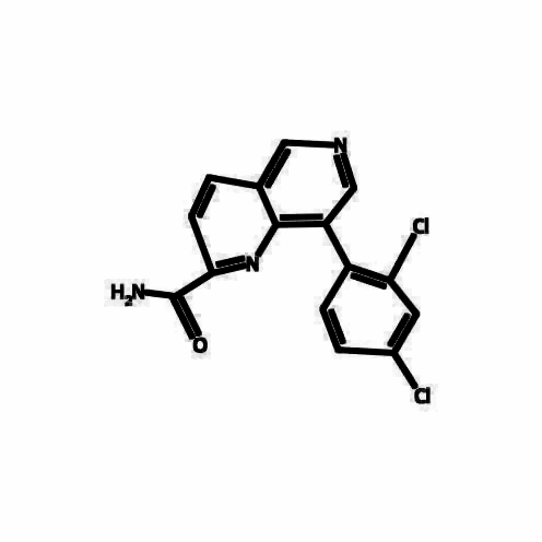 NC(=O)c1ccc2cncc(-c3ccc(Cl)cc3Cl)c2n1